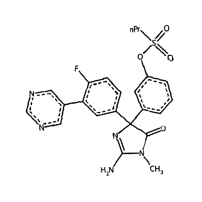 CCCS(=O)(=O)Oc1cccc(C2(c3ccc(F)c(-c4cncnc4)c3)N=C(N)N(C)C2=O)c1